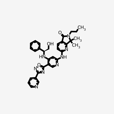 CCCN1C(=O)c2ccc(Nc3cc(N[C@H](CO)c4ccccc4)c(-c4nc(-c5cccnc5)no4)cn3)nc2C1(C)C